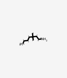 CC(C)CCCC(C)(C)CCN